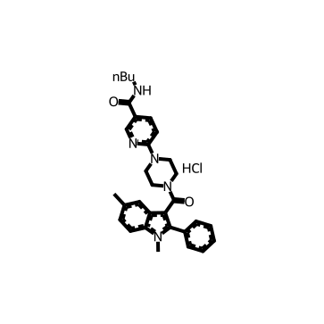 CCCCNC(=O)c1ccc(N2CCN(C(=O)c3c(-c4ccccc4)n(C)c4ccc(C)cc34)CC2)nc1.Cl